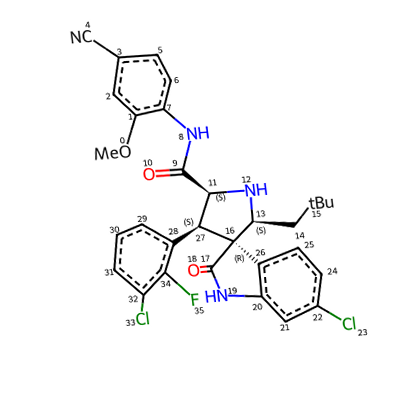 COc1cc(C#N)ccc1NC(=O)[C@H]1N[C@@H](CC(C)(C)C)[C@@]2(C(=O)Nc3cc(Cl)ccc32)[C@H]1c1cccc(Cl)c1F